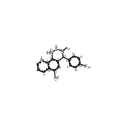 CC(=O)c1cc2c(c3ncccc13)NSN(C)C2c1ccc(F)cc1